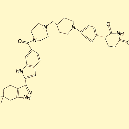 CC1(C)CCc2c(-c3cc4ccc(C(=O)N5CCN(CC6CCN(c7ccc([C@H]8CCC(=O)NC8=O)cc7)CC6)CC5)cc4[nH]3)n[nH]c2C1